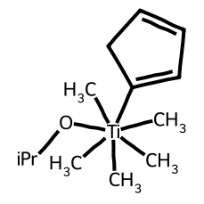 CC(C)[O][Ti]([CH3])([CH3])([CH3])([CH3])([CH3])[C]1=CC=CC1